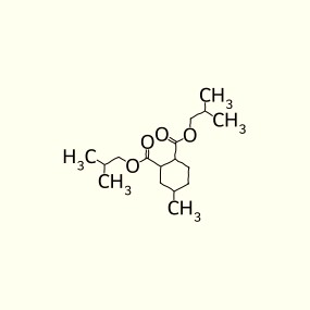 CC(C)COC(=O)C1CCC(C)CC1C(=O)OCC(C)C